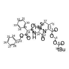 CC1=C(C(=O)OCOC(=O)C(C)(C)C)N2C(=O)C(NC(=O)C(C(=O)OCc3ccccc3)c3ccccc3)[C@H]2SC1